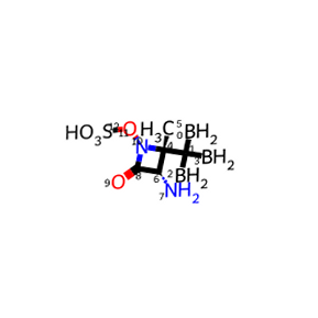 BC(B)(B)[C@]1(C)[C@H](N)C(=O)N1OS(=O)(=O)O